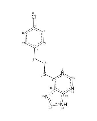 Clc1ccc(CCSc2ncnc3[nH]cnc23)cc1